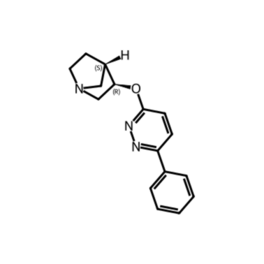 c1ccc(-c2ccc(O[C@H]3CN4CC[C@H]3C4)nn2)cc1